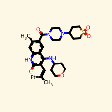 CC/C(C)=C\c1c(NC2CCOCC2)c2cc(C(=O)N3CCN(C4CCS(=O)(=O)CC4)CC3)c(C)cc2[nH]c1=O